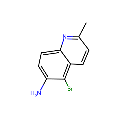 Cc1ccc2c(Br)c(N)ccc2n1